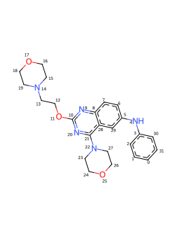 c1ccc(Nc2ccc3nc(OCCN4CCOCC4)nc(N4CCOCC4)c3c2)cc1